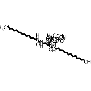 CCCCCCCCCCCCCCCNC(=O)NCC(CNC(=O)NCCCCCCCCCCCCCCC)OP(N)(=O)OCCN(C(=O)O)C(C)(C)C